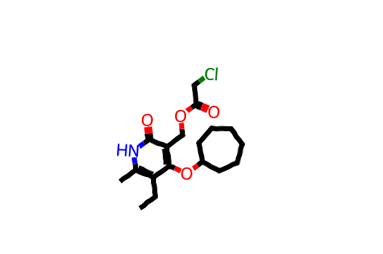 CCc1c(C)[nH]c(=O)c(COC(=O)CCl)c1OC1CCCCCC1